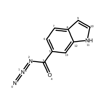 [N-]=[N+]=NC(=O)c1ccc2cc[nH]c2c1